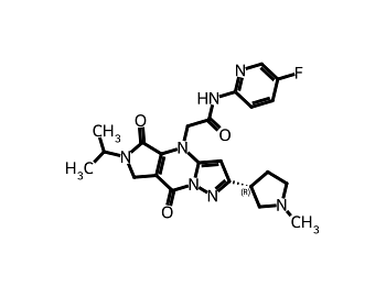 CC(C)N1Cc2c(n(CC(=O)Nc3ccc(F)cn3)c3cc([C@@H]4CCN(C)C4)nn3c2=O)C1=O